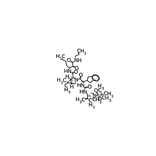 C=CCNC(=O)C(=O)C(CCCC)NC(=O)[C@@H]1[C@@H]2[C@H](CN1C(=O)[C@@H](NC(=O)N[C@H](CN(C)S(=O)(=O)C(C)(C)C)C(=C)C)C1Cc3ccccc3C1)C2(C)C